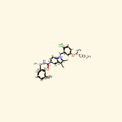 Cc1c(C)n(Cc2cc(O[C@@H](C(=O)O)C(C)C)ccc2Cl)c2ccc(C(=O)N[C@@H](C)c3cccc(C(C)C)c3)cc12